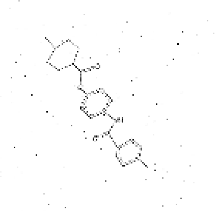 Cc1ccc(C(=O)Nc2ccc(OC(=O)C3CCC(C)CC3)cc2)cc1